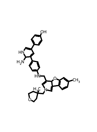 Cc1ccc2c(c1)OC1C(CNc3ccc(C4=CC(c5ccc(O)cc5)=CNC4N)cc3)=CN(CC3(C)CCOCC3)C=C21